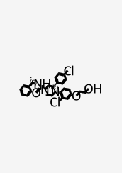 C[C@H](NC(=O)N1CCN(c2ccc(OCCO)cc2Cl)[C@H](c2ccc(Cl)cc2)C1)c1ccccc1